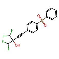 O=S(=O)(c1ccccc1)c1ccc(C#CC(O)(C(F)F)C(F)F)cc1